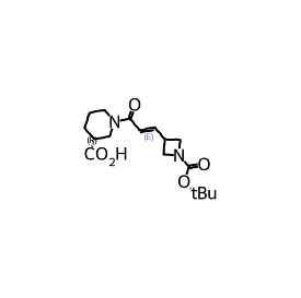 CC(C)(C)OC(=O)N1CC(/C=C/C(=O)N2CCC[C@@H](C(=O)O)C2)C1